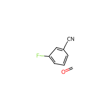 C=O.N#Cc1cccc(F)c1